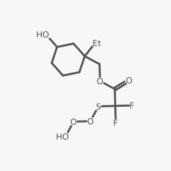 CCC1(COC(=O)C(F)(F)SOOO)CCCC(O)C1